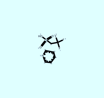 O=S(=O)(O)CC(F)(F)F.c1ccncc1